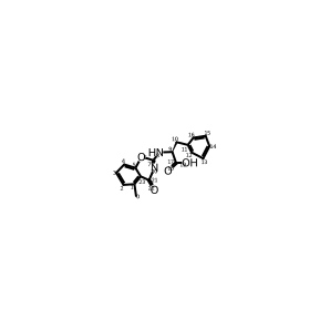 Cc1cccc2oc(N[C@@H](Cc3ccccc3)C(=O)O)nc(=O)c12